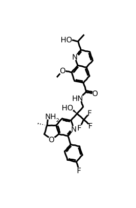 COc1cc(C(=O)NC[C@@](O)(c2cc3c(c(-c4ccc(F)cc4)n2)OC[C@@]3(C)N)C(F)(F)F)cc2ccc(C(C)O)nc12